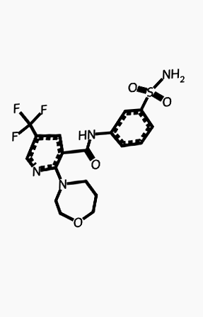 NS(=O)(=O)c1cccc(NC(=O)c2cc(C(F)(F)F)cnc2N2CCCOCC2)c1